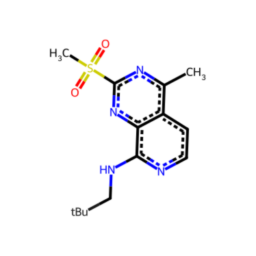 Cc1nc(S(C)(=O)=O)nc2c(NCC(C)(C)C)nccc12